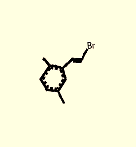 Cc1ccc(C)c(C=CBr)c1